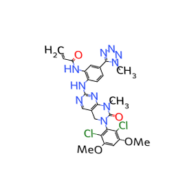 C=CC(=O)Nc1cc(-c2nnnn2C)ccc1Nc1ncc2c(n1)N(C)C(=O)N(c1c(Cl)c(OC)cc(OC)c1Cl)C2